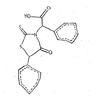 O=C(O)C(c1ccccc1)N1C(=O)C(c2ccccc2)SC1=S